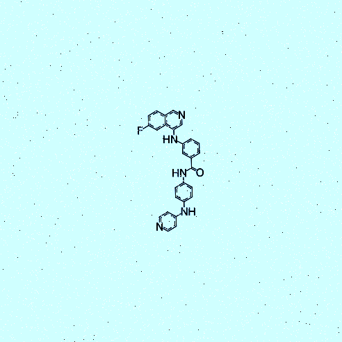 O=C(Nc1ccc(Nc2ccncc2)cc1)c1cccc(Nc2cncc3ccc(F)cc23)c1